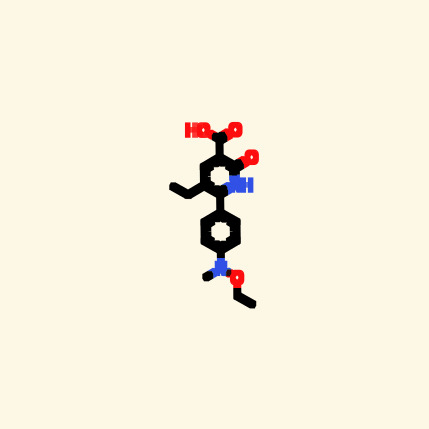 CCON(C)c1ccc(-c2[nH]c(=O)c(C(=O)O)cc2CC)cc1